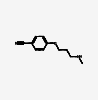 CNCCCOc1ccc(C#N)cc1